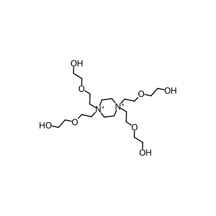 OCCOCC[N+]1(CCOCCO)CC[N+](CCOCCO)(CCOCCO)CC1